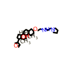 C[C@]12CCC(OCCNCCCN3CCCC3)CC1CC[C@@H]1[C@H]2CC[C@]2(C)C(c3ccoc3)CC[C@@]12O